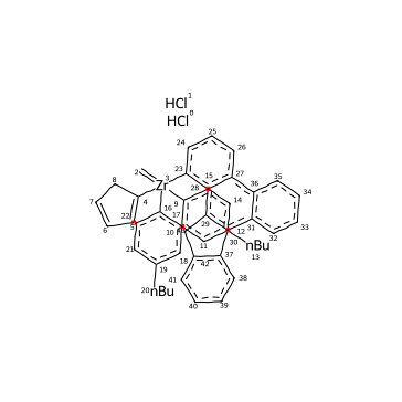 Cl.Cl.[CH2]=[Zr]([C]1=CC=CC1)([c]1ccc(CCCC)cc1)([c]1ccc(CCCC)cc1)[c]1cccc2c1c1c(c3ccccc32)-c2ccccc2C1